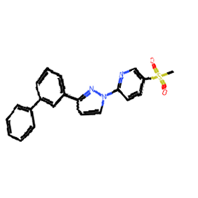 CS(=O)(=O)c1ccc(-n2ccc(-c3cccc(-c4ccccc4)c3)n2)nc1